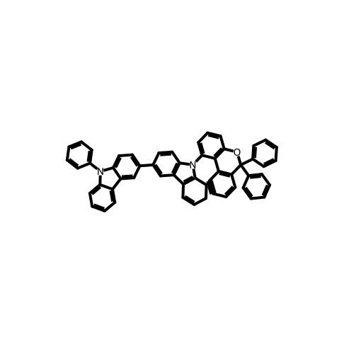 c1ccc2c(c#1)-c1c(cccc1-n1c3c(c4cc(-c5ccc6c(c5)c5ccccc5n6-c5ccccc5)ccc41)C=CCC3)OC2(c1ccccc1)c1ccccc1